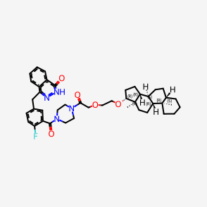 C[C@@]12CCCC[C@H]1CC[C@H]1[C@H]2CC[C@]2(C)[C@@H]1CC[C@H]2OCCOCC(=O)N1CCN(C(=O)c2cc(Cc3n[nH]c(=O)c4ccccc34)ccc2F)CC1